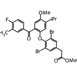 COC(=O)Cc1cc(Br)c(Oc2cc(C(C)C)c(OC)cc2C(=O)c2ccc(F)c(C)c2)c(Br)c1